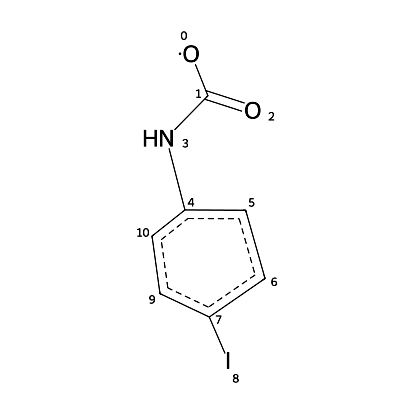 [O]C(=O)Nc1ccc(I)cc1